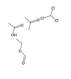 CC(=O)O.CC(C)=O.CCOC=O.ClC(Cl)Cl